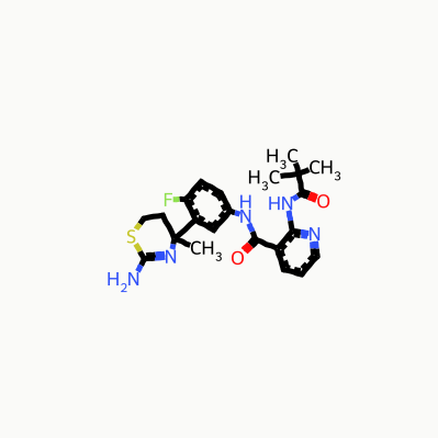 CC(C)(C)C(=O)Nc1ncccc1C(=O)Nc1ccc(F)c(C2(C)CCSC(N)=N2)c1